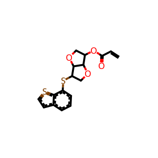 C=CC(=O)OC1COC2C(Sc3cccc4ccsc34)COC12